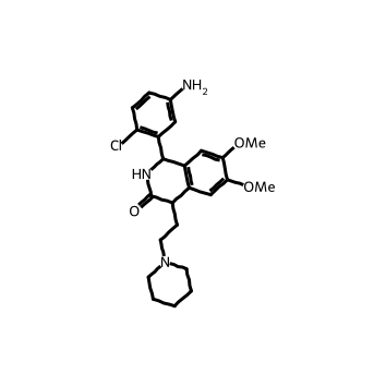 COc1cc2c(cc1OC)C(c1cc(N)ccc1Cl)NC(=O)C2CCN1CCCCC1